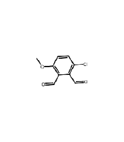 COc1ccc(Cl)c(C=O)c1C=O